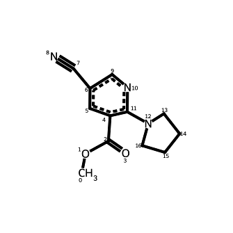 COC(=O)c1cc(C#N)cnc1N1CCCC1